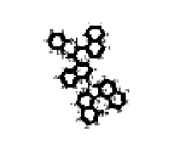 c1ccc2c(-c3nc4ccccc4nc3-c3ccc(-n4c5ccc6cccc7sc8cccc9ccc4c(c98)c5c67)c4ccccc34)cccc2c1